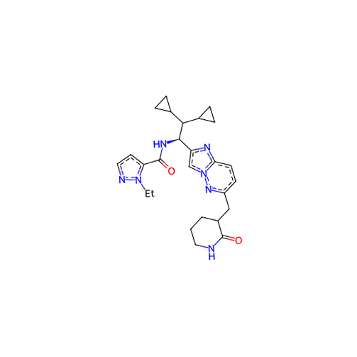 CCn1nccc1C(=O)N[C@H](c1cn2nc(CC3CCCNC3=O)ccc2n1)C(C1CC1)C1CC1